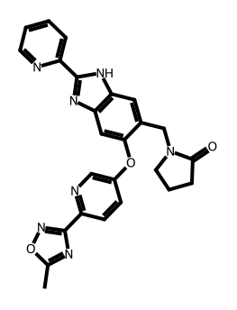 Cc1nc(-c2ccc(Oc3cc4nc(-c5ccccn5)[nH]c4cc3CN3CCCC3=O)cn2)no1